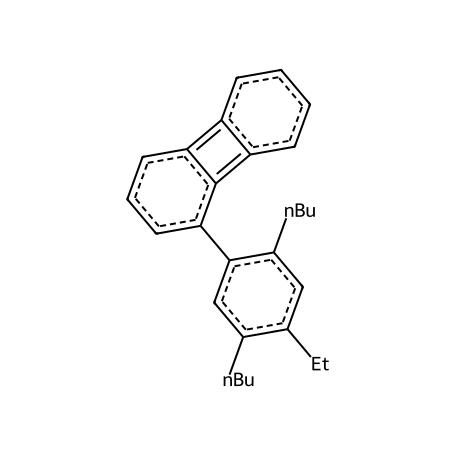 CCCCc1cc(-c2cccc3c2=c2ccccc2=3)c(CCCC)cc1CC